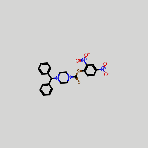 O=[N+]([O-])c1ccc(SC(=S)N2CCN(C(c3ccccc3)c3ccccc3)CC2)c([N+](=O)[O-])c1